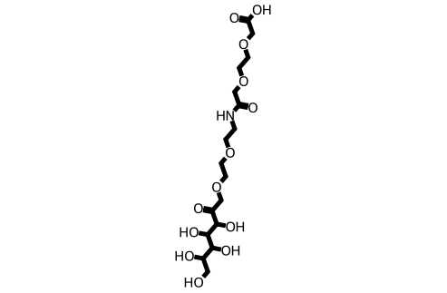 O=C(O)COCCOCC(=O)NCCOCCOCC(=O)C(O)C(O)C(O)C(O)CO